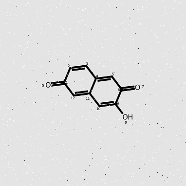 O=C1C=CC2=CC(=O)C(O)=CC2=C1